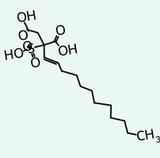 CCCCCCCCCCC=CC(CC(=O)O)(C(=O)O)S(=O)(=O)O